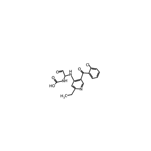 CCc1cc(NC(C=O)NC(=O)O)c(C(=O)c2ccccc2Cl)cn1